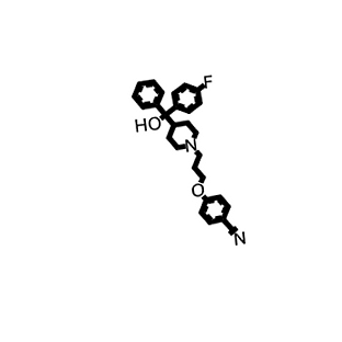 N#Cc1ccc(OCCCN2CCC(C(O)(c3ccccc3)c3ccc(F)cc3)CC2)cc1